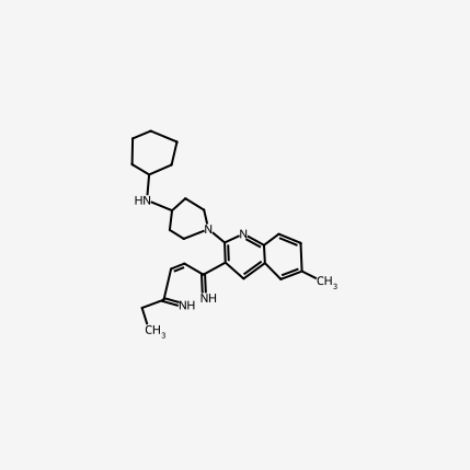 CCC(=N)/C=C\C(=N)c1cc2cc(C)ccc2nc1N1CCC(NC2CCCCC2)CC1